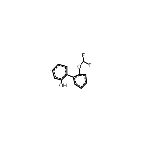 Oc1c[c]ccc1-c1ccccc1OC(F)F